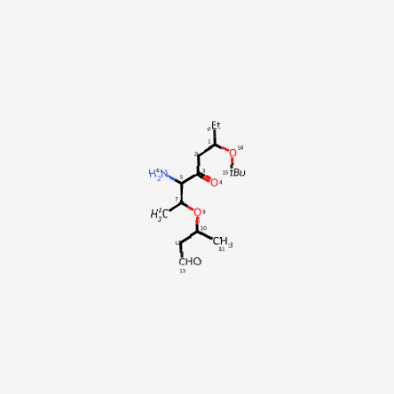 CCC(CC(=O)C(N)C(C)OC(C)CC=O)OC(C)(C)C